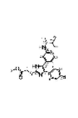 COC(=O)CSc1nc(-c2ccc(F)cc2)c(-c2ccnc(NC(C)C(C)C)c2)[nH]1